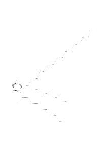 CCCCCCCCCCCCCCCC(CCCCCCCC)c1nccn1C(C)CCCCCCCCC